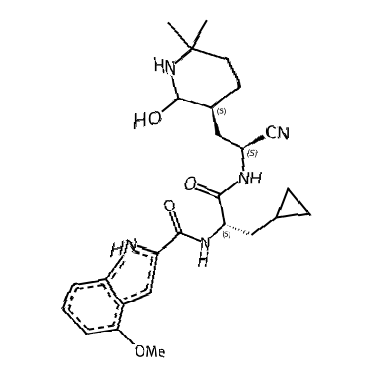 COc1cccc2[nH]c(C(=O)N[C@@H](CC3CC3)C(=O)N[C@H](C#N)C[C@@H]3CCC(C)(C)NC3O)cc12